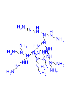 NCCNCCNCCN(CCNCCN)CCN(CCNCCNCCN(CCN)CCN)CCNCCN(CCN(CCNCCNCCN)CCN(CCN)CCN)CCN(CCNCCN)CCN(CCN)CCNCCN